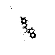 CN1C2c3ccccc3OCC2N1C(=O)Cc1ccc(Cl)cc1